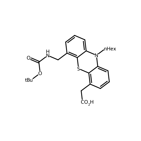 CCCCCCN1c2cccc(CNC(=O)OC(C)(C)C)c2Sc2c(CC(=O)O)cccc21